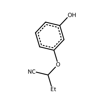 CCC(C#N)Oc1cccc(O)c1